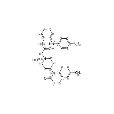 Cc1ccc(Nc2ccccc2NC(=O)CN2CCC(N3C(=O)OCc4cc(C)ccc43)CC2)cc1.Cl